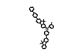 Cc1cccc(N(c2ccc(-c3ccc4c(c3)C(C)(C)c3ccccc3-4)cc2)c2ccc3c(c2)C(C)(C)c2cc(-c4ccc(-c5ccccc5)cc4)ccc2-3)c1